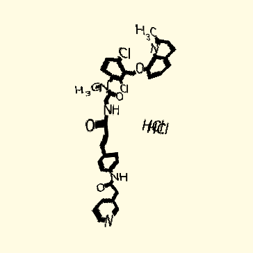 Cc1ccc2cccc(OCc3c(Cl)ccc(N(C)C(=O)CNC(=O)C=Cc4ccc(NC(=O)Cc5cccnc5)cc4)c3Cl)c2n1.Cl.Cl